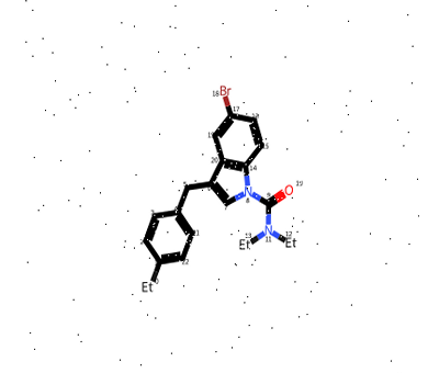 CCc1ccc(Cc2cn(C(=O)N(CC)CC)c3ccc(Br)cc23)cc1